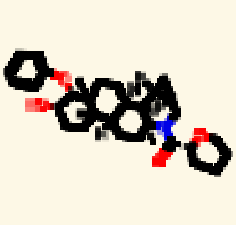 CC12CC[C@H](O)[C@H](Oc3ccccc3)[C@]1(C)CC[C@H]1[C@@H]3[C@@H]4C[C@@H]4CN(C(=O)[C@H]4CCCCO4)[C@@]3(C)CC[C@@H]12